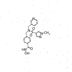 Cn1cc(S(=O)(=O)N(Cc2ccc(C(=O)NO)cc2)Cc2cccnc2)cn1